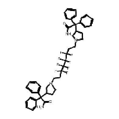 NC(=O)C(c1ccccc1)(c1ccccc1)C1CCN(CCC(F)(F)C(F)(F)C(F)(F)C(F)(F)CCN2CCC(C(C(N)=O)(c3ccccc3)c3ccccc3)C2)C1